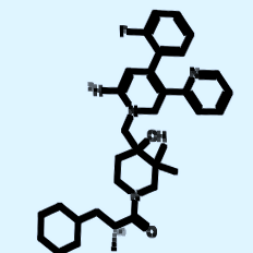 [2H]C1=CC(c2ccccc2F)=C(c2ccccn2)CN1CC1(O)CCN(C(=O)[C@H](C)CC2CCCCC2)CC1(C)C